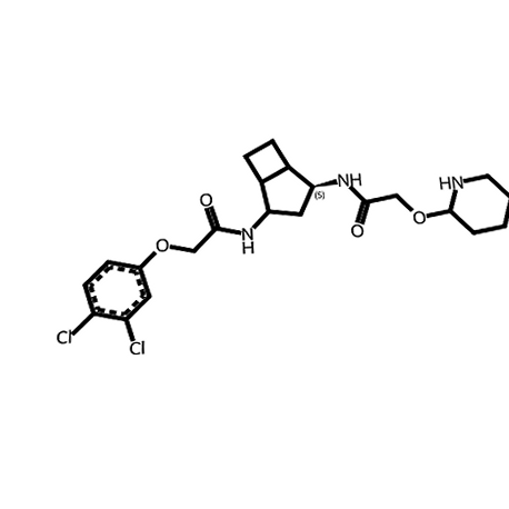 O=C(COc1ccc(Cl)c(Cl)c1)NC1C[C@H](NC(=O)COC2CCCCN2)C2CCC12